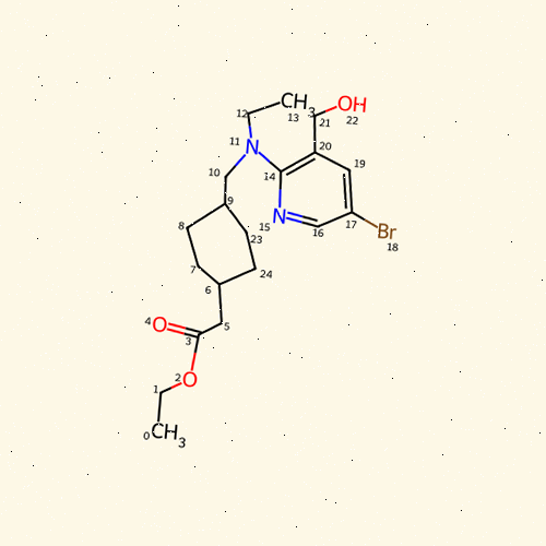 CCOC(=O)CC1CCC(CN(CC)c2ncc(Br)cc2CO)CC1